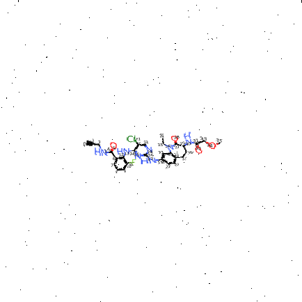 C#CCNC(=O)c1cccc(F)c1Nc1nc(Nc2ccc3c(c2)N(CC)C(=O)C(NC(=O)COC)CC3)ncc1Cl